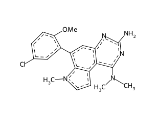 COc1ccc(Cl)cc1-c1cc2nc(N)nc(N(C)C)c2c2ccn(C)c12